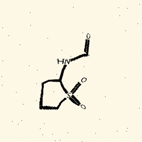 O=[C]NC1CCCS1(=O)=O